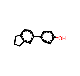 Oc1ccc(-c2ccc3c(c2)CCC3)cc1